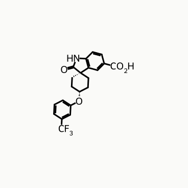 O=C(O)c1ccc2c(c1)[C@]1(CC[C@@H](Oc3cccc(C(F)(F)F)c3)CC1)C(=O)N2